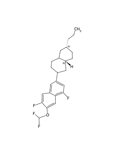 CCC[C@@H]1CC[C@@H]2CC(c3cc(F)c4cc(OC(F)F)c(F)cc4c3)CCC2C1